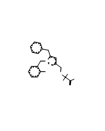 CC(C)(OCc1cc(Cc2ccccc2)n(Cc2ccccc2Cl)n1)C(=O)O